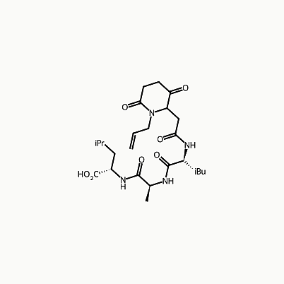 C=CCN1C(=O)CCC(=O)C1CC(=O)N[C@H](C(=O)N[C@@H](C)C(=O)N[C@@H](CC(C)C)C(=O)O)[C@@H](C)CC